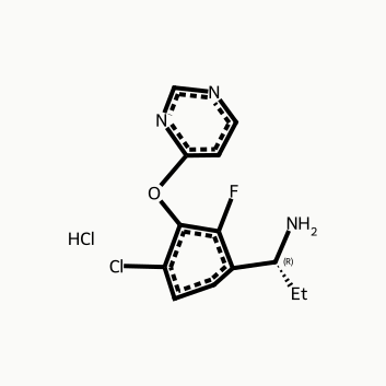 CC[C@@H](N)c1ccc(Cl)c(Oc2ccncn2)c1F.Cl